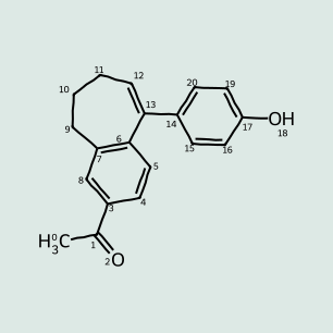 CC(=O)c1ccc2c(c1)CCCC=C2c1ccc(O)cc1